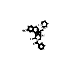 CCC1C2C3[C@@H](CN1C(=O)c1ccccc1)CC31C3Cc4ccc(O)cc4C21CCN3C[C@H]1CCCCN1